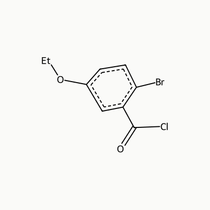 CCOc1ccc(Br)c(C(=O)Cl)c1